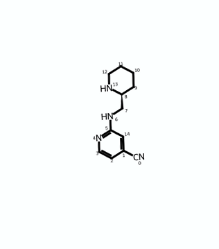 N#Cc1ccnc(NC[C@@H]2CCCCN2)c1